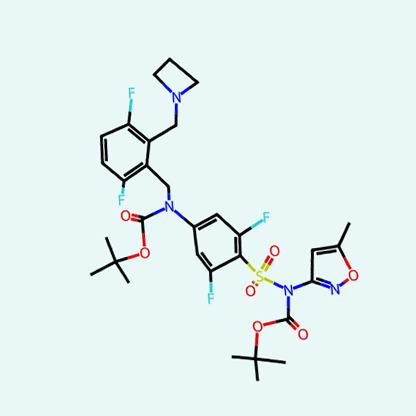 Cc1cc(N(C(=O)OC(C)(C)C)S(=O)(=O)c2c(F)cc(N(Cc3c(F)ccc(F)c3CN3CCC3)C(=O)OC(C)(C)C)cc2F)no1